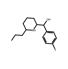 CCCC1CCCC(C(O)c2ccc(F)cc2)N1